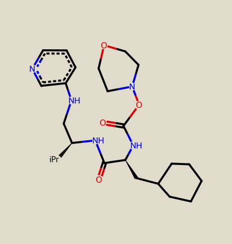 CC(C)[C@@H](CNc1cccnc1)NC(=O)[C@H](CC1CCCCC1)NC(=O)ON1CCOCC1